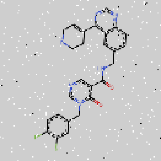 O=C(NCc1ccc2ncnc(C3=CCNCC3)c2c1)c1cncn(Cc2ccc(F)c(F)c2)c1=O